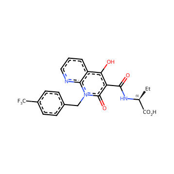 CC[C@H](NC(=O)c1c(O)c2cccnc2n(Cc2ccc(C(F)(F)F)cc2)c1=O)C(=O)O